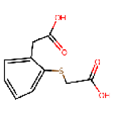 O=C(O)CSc1ccccc1CC(=O)O